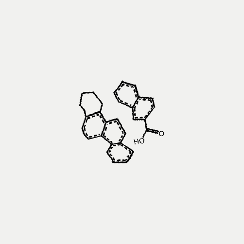 O=C(O)c1ccc2ccccc2c1.c1ccc2c(c1)ccc1c3c(ccc12)CCCC3